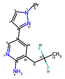 CC(C)n1ccc(-c2cnc(N)c(CC(C)(F)F)c2)n1